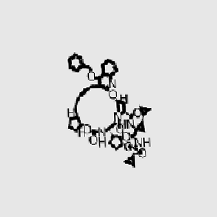 O=C1N[C@@H](C2CCCC2)C(=O)N2C[C@@H](C[C@H]2C(=O)N[C@]2(C(=O)NS(=O)(=O)C3CC3)C[C@H]2C2CC2)Oc2nc3ccccc3c(OCc3ccccc3)c2CC=CCC[C@@H]2CCC[C@H]2O1